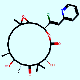 C[C@H]1CCCC2(C)OC2C[C@@H](C(Cl)=Cc2ccccn2)OC(=O)C[C@H](O)C(C)(C)C(=O)[C@H](C)[C@H]1O